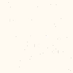 C/C(=C\C1CCC(O)CC1)C(=O)O